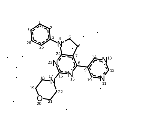 c1ccc(N2CCc3c(-c4cncnc4)nc(N4CCOCC4)nc32)cc1